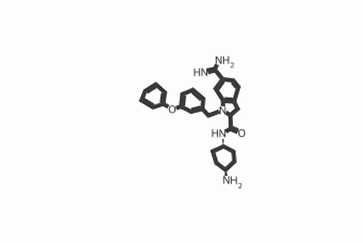 N=C(N)c1ccc2c(c1)N(Cc1cccc(Oc3ccccc3)c1)C(C(=O)N[C@H]1CC[C@H](N)CC1)C2